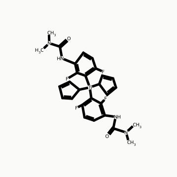 CN(C)C(=O)Nc1ccc(F)[c]([Ti]([c]2c(F)ccc(NC(=O)N(C)C)c2F)([CH]2C=CC=C2)[CH]2C=CC=C2)c1F